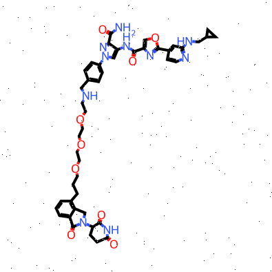 NC(=O)c1nn(-c2ccc(CNCCOCCOCCOCCCc3cccc4c3CN(C3CCC(=O)NC3=O)C4=O)cc2)cc1NC(=O)c1coc(-c2ccnc(NCC3CC3)c2)n1